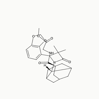 COC(=O)CNC(=O)[C@]12CC3CC(C1)[C@@H](N1C(=O)C(C)(C)C1c1cccc4c1OCO4)C(C3)C2